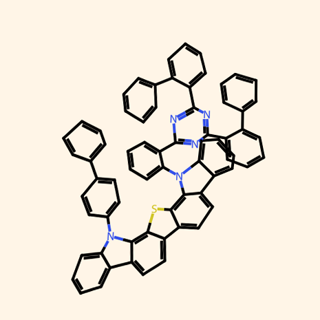 c1ccc(-c2ccc(-n3c4ccccc4c4ccc5c6ccc7c8ccccc8n(-c8ccccc8-c8nc(-c9ccccc9-c9ccccc9)nc(-c9ccccc9-c9ccccc9)n8)c7c6sc5c43)cc2)cc1